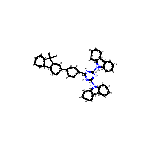 CC1(C)c2ccccc2-c2ccc(-c3ccc(-c4nc(-n5c6ccccc6c6ccccc65)nc(-n5c6ccccc6c6ccccc65)n4)cc3)cc21